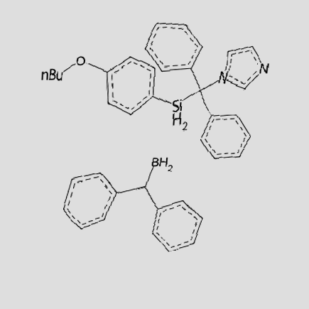 BC(c1ccccc1)c1ccccc1.CCCCOc1ccc([SiH2]C(c2ccccc2)(c2ccccc2)n2ccnc2)cc1